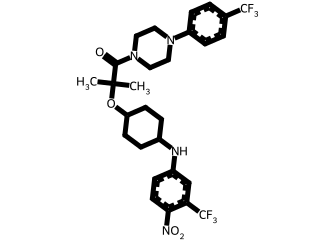 CC(C)(OC1CCC(Nc2ccc([N+](=O)[O-])c(C(F)(F)F)c2)CC1)C(=O)N1CCN(c2ccc(C(F)(F)F)cc2)CC1